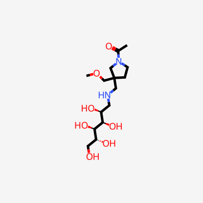 COCC1(CNC[C@H](O)[C@@H](O)[C@H](O)[C@H](O)CO)CCN(C(C)=O)C1